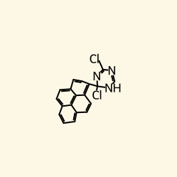 ClC1=NC(Cl)(c2ccc3ccc4cccc5ccc2c3c45)NC=N1